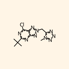 Cn1nnnc1Cn1nc2nc(C(C)(C)C)nc(Cl)c2n1